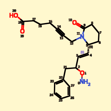 NOC(/C=C/[C@H]1CCCC(=O)N1CC#CCCCC(=O)O)Cc1ccccc1